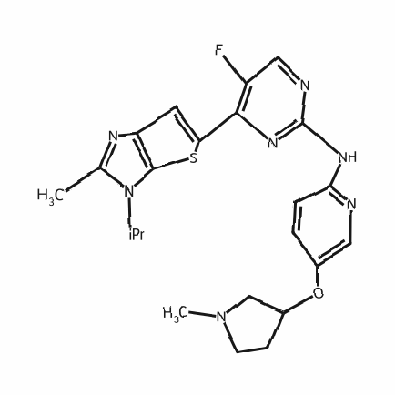 Cc1nc2cc(-c3nc(Nc4ccc(OC5CCN(C)C5)cn4)ncc3F)sc2n1C(C)C